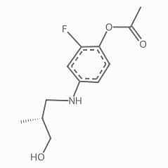 CC(=O)Oc1ccc(NC[C@@H](C)CO)cc1F